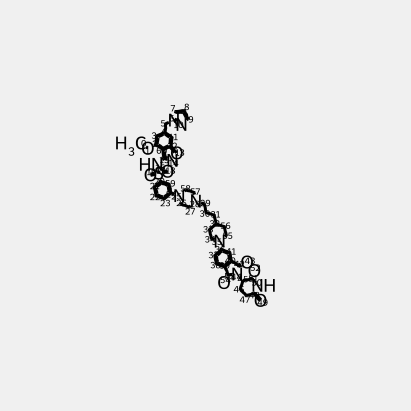 COc1cc(Cn2cccn2)cc2onc(NS(=O)(=O)c3cccc(N4CCN(CCCC5CCN(c6ccc7c(c6)C(=O)N(C6CCC(=O)NC6=O)C7=O)CC5)CC4)c3)c12